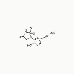 CC(C)(C)C#Cc1ccc(O)c(N2CC(=O)NS2(=O)=O)c1